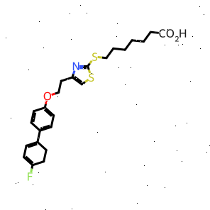 O=C(O)CCCCCCSc1nc(CCOc2ccc(C3=CC=C(F)CC3)cc2)cs1